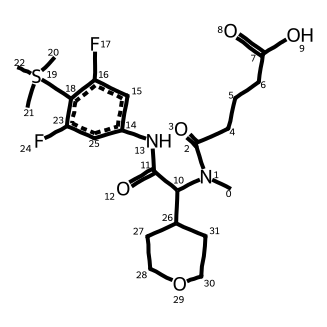 CN(C(=O)CCCC(=O)O)C(C(=O)Nc1cc(F)c(S(C)(C)C)c(F)c1)C1CCOCC1